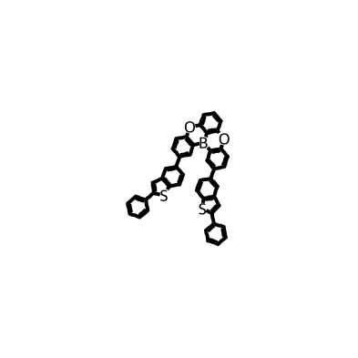 c1ccc(-c2cc3cc(-c4ccc5c(c4)B4c6cc(-c7ccc8sc(-c9ccccc9)cc8c7)ccc6Oc6cccc(c64)O5)ccc3s2)cc1